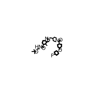 Cc1c(C(=O)NCCOC(C)(C)C)ccc2nn(CC3CCN(C(=O)c4ccc(Oc5ccc(F)cc5)cc4)CC3)cc12